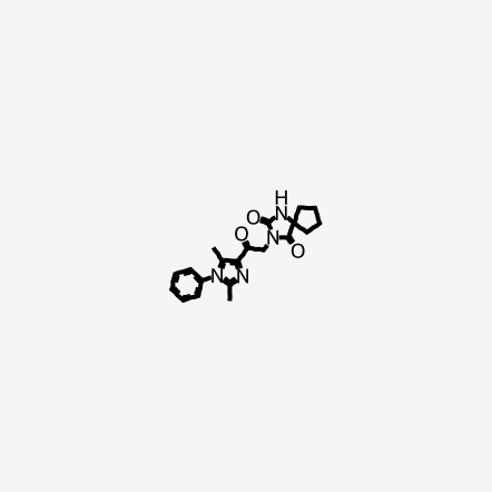 Cc1nc(C(=O)CN2C(=O)NC3(CCCC3)C2=O)c(C)n1-c1ccccc1